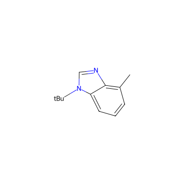 Cc1cccc2c1ncn2C(C)(C)C